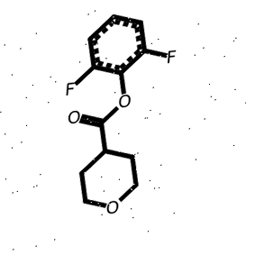 O=C(Oc1c(F)cccc1F)C1CCOCC1